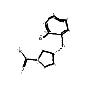 O=C(O)N1CC[C@@H](Cc2ccccc2Br)C1